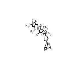 CSc1cc(C)[nH]c(=O)c1CNC(=O)c1cc(Cl)c2c(c1C)O[C@](C)([C@H]1CC[C@H](NCC3(C)COC3)CC1)O2